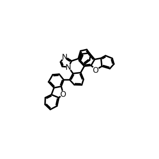 c1ccc(-c2nccn2-c2c(-c3cccc4c3oc3ccccc34)cccc2-c2cccc3c2oc2ccccc23)cc1